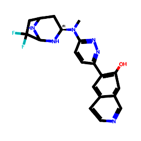 CN(c1ccc(-c2cc3ccncc3cc2O)nn1)[C@@H]1CC2CC(F)(F)C(N2)N1